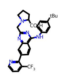 CC(C)(C)c1ccc(Nc2nc(CN3CCCC3C(=O)O)nc3cc(-c4ncccc4C(F)(F)F)ccc23)cc1